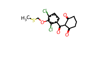 CSCOc1c(Cl)ccc(C(=O)C2C(=O)CCCC2=O)c1Cl